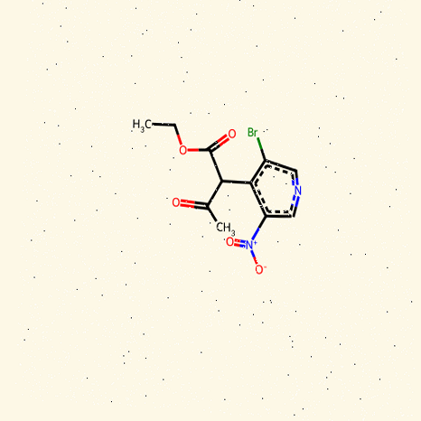 CCOC(=O)C(C(C)=O)c1c(Br)cncc1[N+](=O)[O-]